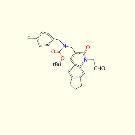 CC(C)(C)OC(=O)N(Cc1ccc(F)cc1)Cc1cc2cc3c(cc2n(CC=O)c1=O)CCC3